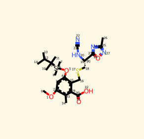 COc1cc(O[Si](C)(C)C(C)(C)C(C)C)c(CSC[C@H](NC#N)c2nc(C)no2)c(C(=O)O)c1C